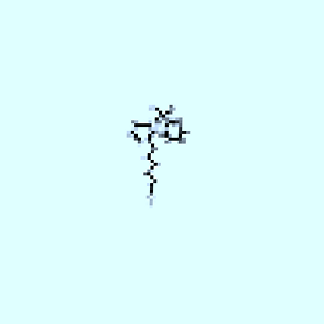 CCCCCCCCc1[c]cccc1-c1ccccc1C(C)(C)C